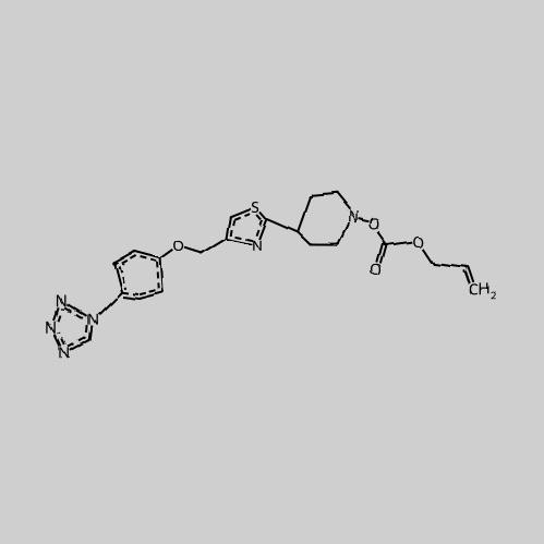 C=CCOC(=O)ON1CCC(c2nc(COc3ccc(-n4cnnn4)cc3)cs2)CC1